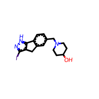 OC1CCN(Cc2ccc3c(c2)Cc2c(I)n[nH]c2-3)CC1